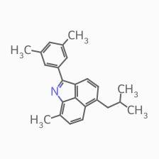 Cc1cc(C)cc(C2=Nc3c(C)ccc4c(CC(C)C)ccc2c34)c1